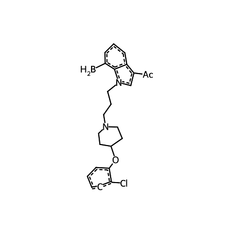 Bc1cccc2c(C(C)=O)cn(CCCN3CCC(Oc4ccccc4Cl)CC3)c12